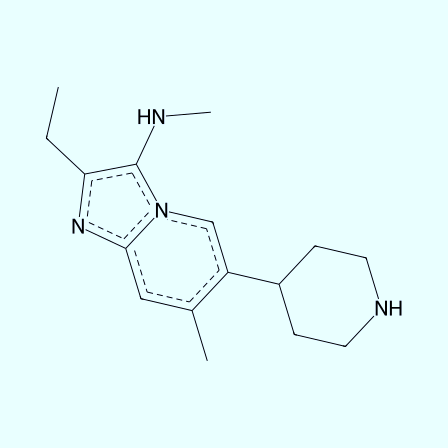 CCc1nc2cc(C)c(C3CCNCC3)cn2c1NC